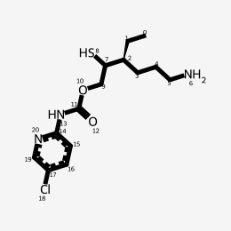 CC[C@@H](CCCN)C(S)COC(=O)Nc1ccc(Cl)cn1